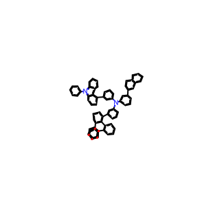 c1ccc(-c2ccccc2-c2c(-c3ccccc3)cccc2-c2cccc(N(c3cccc(-c4ccc5ccccc5c4)c3)c3cccc(-c4cccc5c4c4ccccc4n5-c4ccccc4)c3)c2)cc1